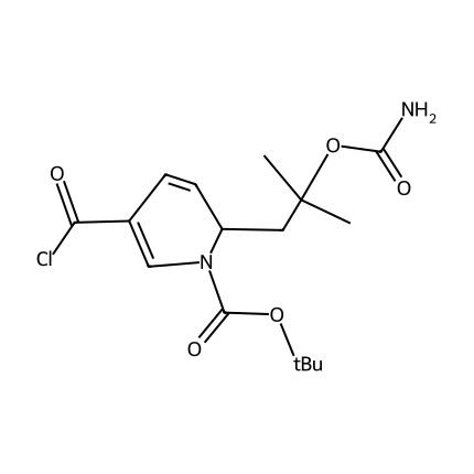 CC(C)(C)OC(=O)N1C=C(C(=O)Cl)C=CC1CC(C)(C)OC(N)=O